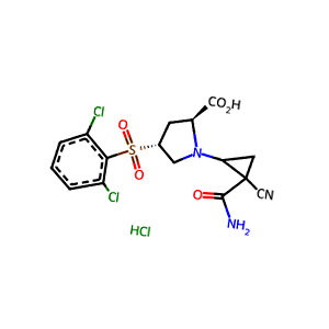 Cl.N#CC1(C(N)=O)CC1N1C[C@H](S(=O)(=O)c2c(Cl)cccc2Cl)C[C@H]1C(=O)O